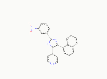 O=[N+]([O-])c1cccc(-c2nc(-c3cccc4ccccc34)c(-c3ccncc3)[nH]2)c1